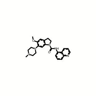 COc1cc2c(cc1N1CCN(C)CC1)N(C(=O)Nc1cccc3ncccc13)CC2